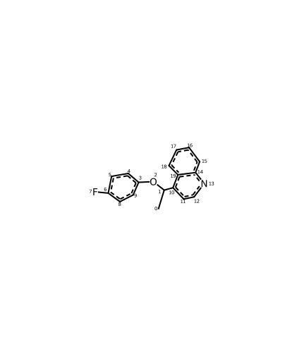 CC(Oc1ccc(F)cc1)c1ccnc2ccccc12